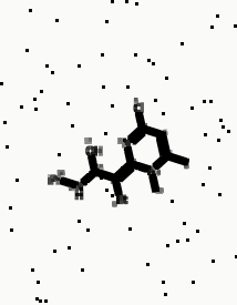 CC/C(=C1/N=C(Cl)C=C(C)N1C)C(O)NC(C)C